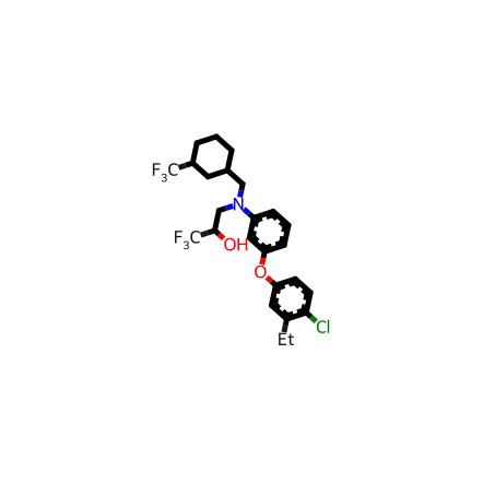 CCc1cc(Oc2cccc(N(CC3CCCC(C(F)(F)F)C3)CC(O)C(F)(F)F)c2)ccc1Cl